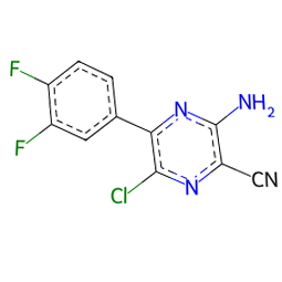 N#Cc1nc(Cl)c(-c2ccc(F)c(F)c2)nc1N